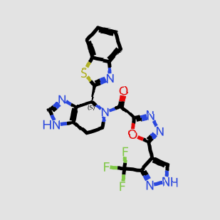 O=C(c1nnc(-c2c[nH]nc2C(F)(F)F)o1)N1CCc2[nH]cnc2[C@H]1c1nc2ccccc2s1